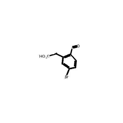 O=Ic1ccc(Br)cc1CC(=O)O